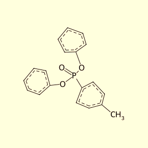 Cc1ccc(P(=O)(Oc2ccccc2)Oc2ccccc2)cc1